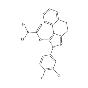 CCN(CC)C(=O)Oc1c2c(nn1-c1ccc(F)c(Cl)c1)CCc1ccccc1-2